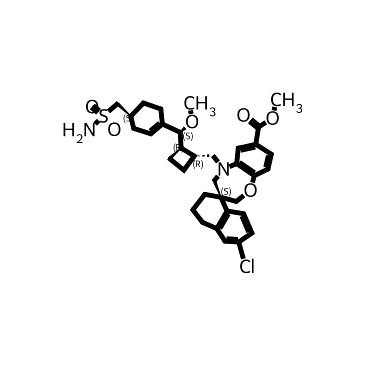 COC(=O)c1ccc2c(c1)N(C[C@@H]1CC[C@H]1[C@H](OC)C1=CC[C@@H](CS(N)(=O)=O)CC1)C[C@@]1(CCCc3cc(Cl)ccc31)CO2